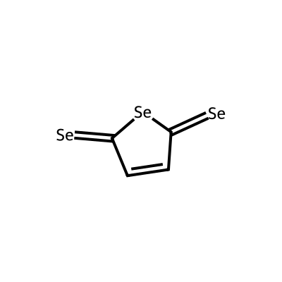 [Se]=C1C=CC(=[Se])[Se]1